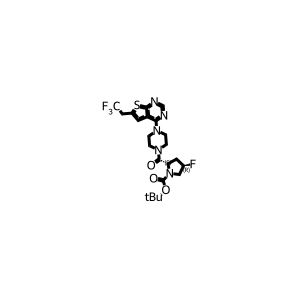 CC(C)(C)OC(=O)N1C[C@H](F)C[C@H]1C(=O)N1CCN(c2ncnc3sc(CC(F)(F)F)cc23)CC1